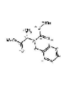 COC(=O)[C@H](C)N(Cc1ccccc1)C(=O)OC(C)(C)C